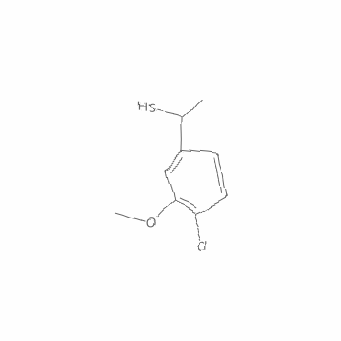 COc1cc(C(C)S)ccc1Cl